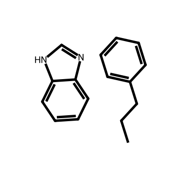 CCCc1ccccc1.c1ccc2[nH]cnc2c1